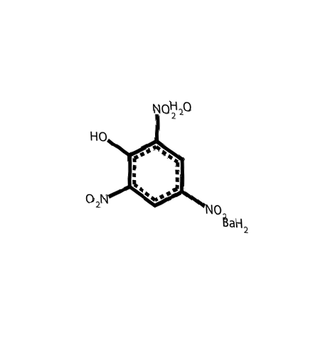 O.O=[N+]([O-])c1cc([N+](=O)[O-])c(O)c([N+](=O)[O-])c1.[BaH2]